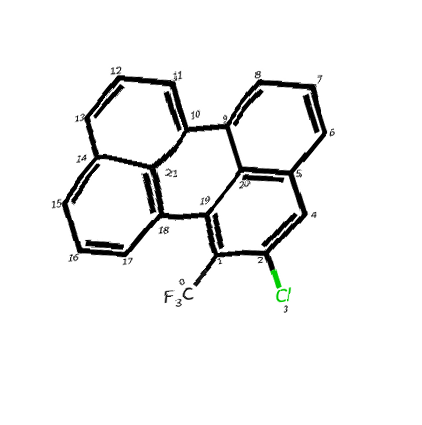 FC(F)(F)c1c(Cl)cc2cccc3c4cccc5cccc(c1c23)c54